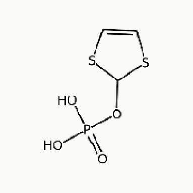 O=P(O)(O)OC1SC=CS1